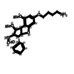 COc1cc(OCCCCN)cc2c1C1C(OC)C(NC=O)[C@@H](c3ccccc3)C1O2